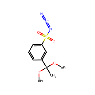 CCCO[Si](C)(OCCC)c1cccc(S(=O)(=O)N=[N+]=[N-])c1